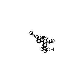 CCC(C)/C(=C1/C=CC=C(OCCCOC)C1=N)c1cc(=O)c(C(=O)O)cn1C(CC)C(C)(C)COC